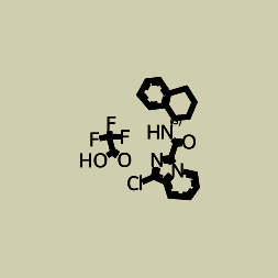 O=C(N[C@H]1CCCc2ccccc21)c1nc(Cl)c2ccccn12.O=C(O)C(F)(F)F